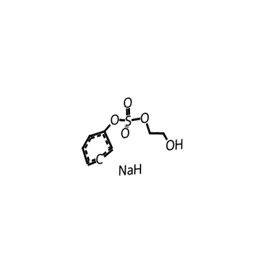 O=S(=O)(OCCO)Oc1ccccc1.[NaH]